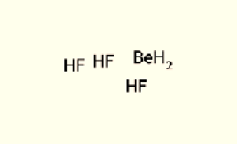 F.F.F.[BeH2]